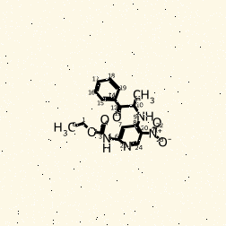 CCOC(=O)Nc1cc(NC(C)C(=O)c2ccccc2)c([N+](=O)[O-])cn1